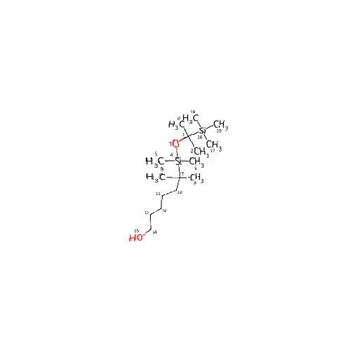 CC(C)(O[Si](C)(C)C(C)(C)CCCCCO)[Si](C)(C)C